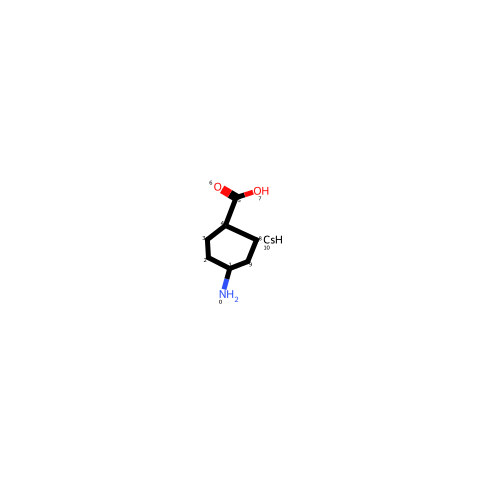 NC1CCC(C(=O)O)CC1.[CsH]